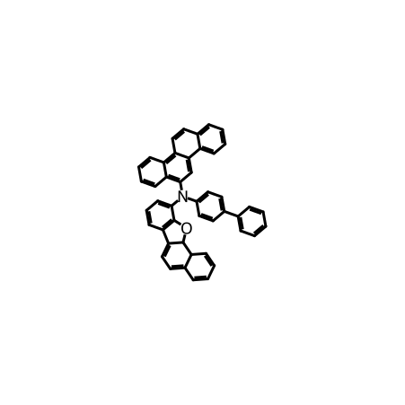 C1=CC2=CC=C3c4cccc(N(c5ccc(-c6ccccc6)cc5)c5cc6c7ccccc7ccc6c6ccccc56)c4OC3C2C=C1